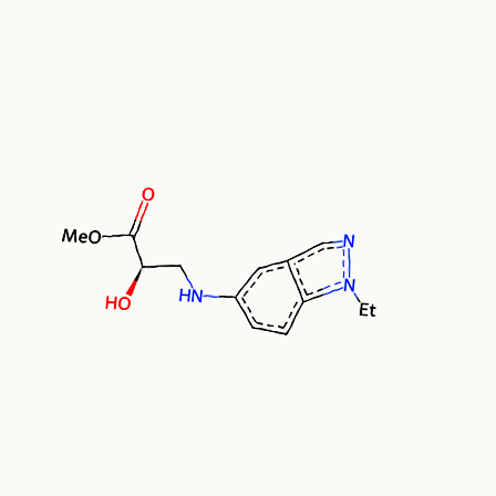 CCn1ncc2cc(NC[C@@H](O)C(=O)OC)ccc21